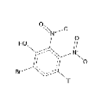 O=[N+]([O-])c1c(F)cc(Br)c(O)c1[N+](=O)[O-]